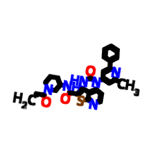 C=CC(=O)N1CCCC(NC(=O)c2sc3nccc4c3c2NC(=O)N4c2cc(C)nc(-c3ccccc3)c2)C1